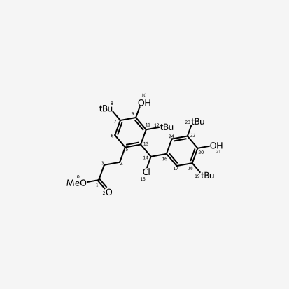 COC(=O)CCc1cc(C(C)(C)C)c(O)c(C(C)(C)C)c1C(Cl)c1cc(C(C)(C)C)c(O)c(C(C)(C)C)c1